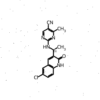 Cc1nc(N[C@@H](C)c2cc3cc(Cl)ccc3[nH]c2=O)ncc1C#N